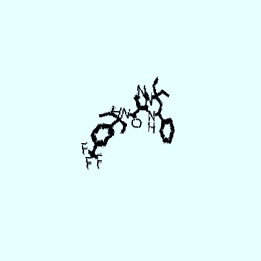 CCC(CC)(NC(=O)c1cnn2c1NC(c1ccccc1)CC2(CC)CC)c1ccc(C(F)(F)F)cc1